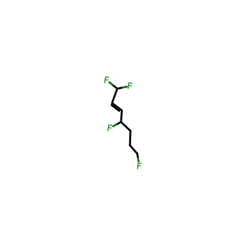 FCCCC(F)C=CC(F)F